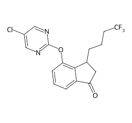 O=C1CC(CCCC(F)(F)F)c2c(Oc3ncc(Cl)cn3)cccc21